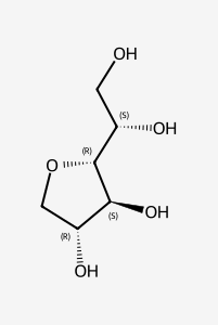 OC[C@H](O)[C@H]1OC[C@@H](O)[C@@H]1O